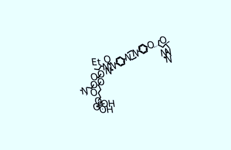 CC[C@@H](C(C)OC(=O)OC(CCCOP(=O)(O)O)OC(=O)CN(C)C)n1ncn(-c2ccc(N3CCN(c4ccc(OC[C@@H]5CO[C@](C)(Cn6cncn6)C5)cc4)CC3)cc2)c1=O